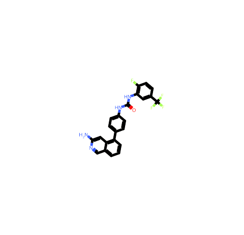 Nc1cc2c(-c3ccc(NC(=O)Nc4cc(C(F)(F)F)ccc4F)cc3)cccc2cn1